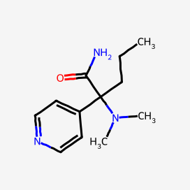 CCCC(C(N)=O)(c1ccncc1)N(C)C